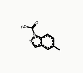 O=C(O)n1ncc2cc(I)ccc21